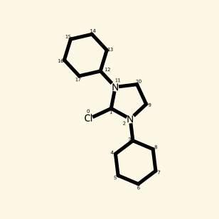 ClC1N(C2CCCCC2)CCN1C1CCCCC1